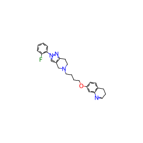 Fc1ccccc1-n1cc2c(n1)CCN(CCCCOc1ccc3c(c1)N=CCC3)C2